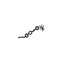 CCCCCc1ccc(C2CCC(C#Cc3ccc(OC(F)(F)C(F)C(F)(F)F)cc3)CC2)cc1